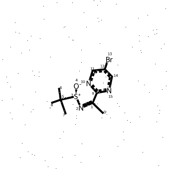 C/C(=N/[S@+]([O-])C(C)(C)C)c1ncc(Br)cn1